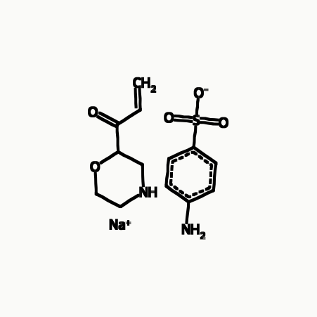 C=CC(=O)C1CNCCO1.Nc1ccc(S(=O)(=O)[O-])cc1.[Na+]